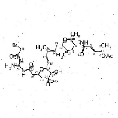 CC(=O)OC(C)C=CC(=O)N[C@@H]1C[C@H](C)[C@H](CC=C(C)C=C[C@H]2O[C@H](CC(=O)NC(N)=NC(=O)CBr)C[C@@]3(CO3)[C@@H]2O)O[C@@H]1C